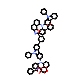 c1ccc(-c2nc3c(ccc4cccc(N(c5ccc6c7cc(-c8cccc(-c9nc%10ccc%11cccc(N(c%12ccc%13c%14ccccc%14n(-c%14ccccc%14)c%13c%12)c%12ccccc%12-c%12ccccc%12)c%11c%10o9)c8)ccc7n(-c7ccccc7)c6c5)c5ccccc5-c5ccccc5)c43)o2)cc1